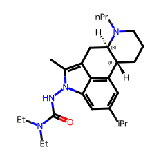 CCCN1CCC[C@@H]2c3cc(C(C)C)cc4c3c(c(C)n4NC(=O)N(CC)CC)C[C@H]21